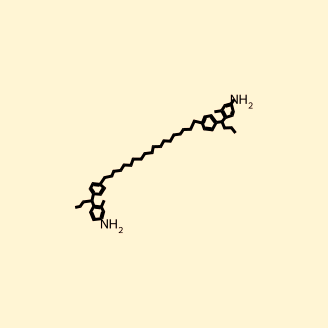 CCCC(c1ccc(CCCCCCCCCCCCCCCCCCCc2ccc(C(CCC)c3ccc(N)cc3C)cc2)cc1)c1ccc(N)cc1C